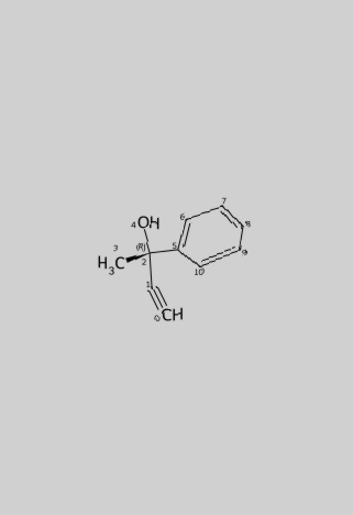 C#C[C@](C)(O)c1ccccc1